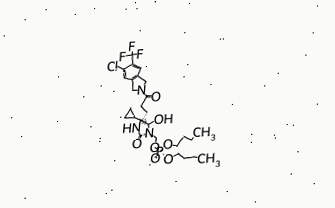 CCCCOP(=O)(OCCCC)OCN1C(=O)N[C@@](CCC(=O)N2Cc3cc(Cl)c(C(F)(F)F)cc3C2)(C2CC2)C1O